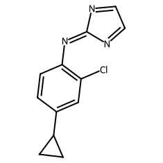 Clc1cc(C2CC2)ccc1N=C1N=CC=N1